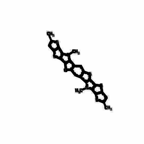 Cc1cc2sc3c4oc5cc6c(cc5c4n(C)c3c2s1)sc1c2sc3cc(C)sc3c2n(C)c61